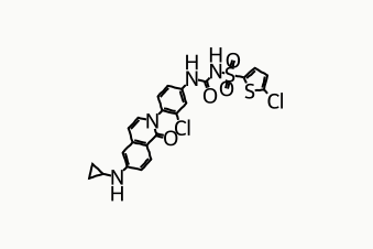 O=C(Nc1ccc(-n2ccc3cc(NC4CC4)ccc3c2=O)c(Cl)c1)NS(=O)(=O)c1ccc(Cl)s1